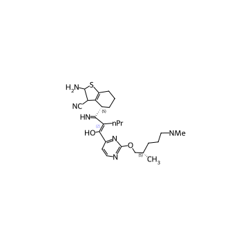 CCC/C(C(=N)[C@H]1CCCC2=C1C(C#N)C(N)S2)=C(/O)c1ccnc(OC[C@@H](C)CCCNC)n1